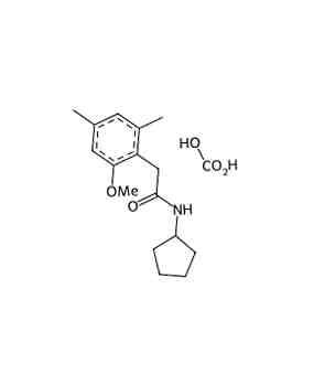 COc1cc(C)cc(C)c1CC(=O)NC1CCCC1.O=C(O)O